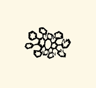 c1ccc(-c2c(-c3ccccc3)c(-c3ccccc3)c3c(c2-c2ccccc2)-c2nccnc2-c2c(-c4ccccn4)c(-c4ccccn4)c(-c4ccccn4)c(-c4ccccn4)c2-c2nccnc2-3)cc1